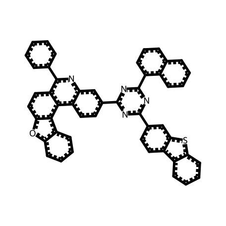 c1ccc(-c2nc3cc(-c4nc(-c5ccc6c(c5)sc5ccccc56)nc(-c5cccc6ccccc56)n4)ccc3c3c2ccc2oc4ccccc4c23)cc1